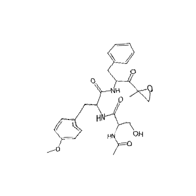 COc1ccc(CC(NC(=O)C(CO)NC(C)=O)C(=O)NC(Cc2ccccc2)C(=O)C2(C)CO2)cc1